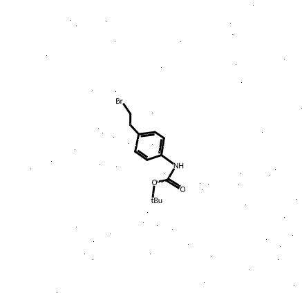 CC(C)(C)OC(=O)Nc1ccc(CCBr)cc1